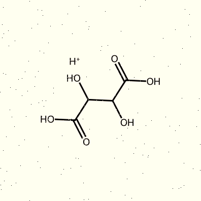 O=C(O)C(O)C(O)C(=O)O.[H+]